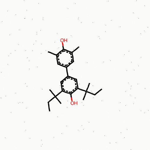 CCC(C)(C)c1cc(-c2cc(C)c(O)c(C)c2)cc(C(C)(C)CC)c1O